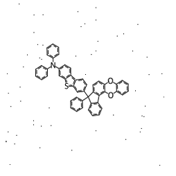 c1ccc(N(c2ccccc2)c2ccc3c(c2)sc2cc(C4(c5ccccc5)c5ccccc5-c5c4ccc4c5Oc5ccccc5O4)ccc23)cc1